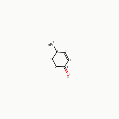 CCCC1C=CC(=O)CC1